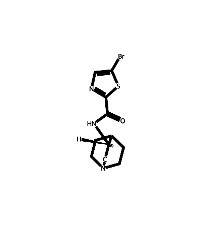 O=C(N[C@H]1CN2CCC1CC2)c1ncc(Br)s1